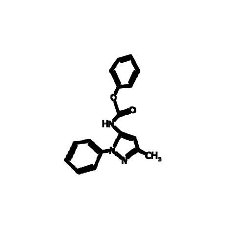 Cc1cc(NC(=O)Oc2ccccc2)n(-c2ccccc2)n1